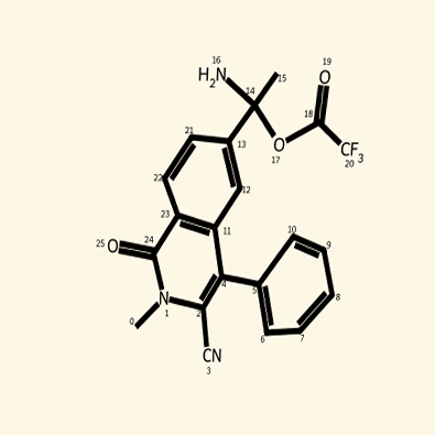 Cn1c(C#N)c(-c2ccccc2)c2cc(C(C)(N)OC(=O)C(F)(F)F)ccc2c1=O